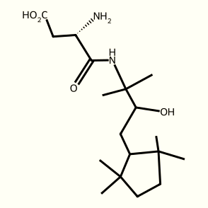 CC1(C)CCC(C)(C)C1CC(O)C(C)(C)NC(=O)[C@@H](N)CC(=O)O